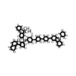 CC1(C)c2ccccc2-c2ccc(N(c3ccc(-c4ccc(-c5ccc(-c6ccc7c(c6)c6ccccc6n7-c6ccccc6)cc5)cc4)cc3)c3cccc4c3oc3ccc5ccccc5c34)cc21